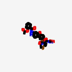 CC(=O)Oc1ccccc1C(=O)Nc1ccc2c(c1)oc1ccc(S(=O)(=O)N3CCSC(C)(C)C3C(=O)NO)cc12